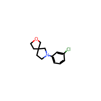 Clc1cccc(N2CCC3(CCOC3)C2)c1